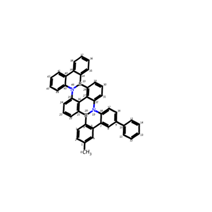 Cc1ccc2c(c1)-c1cc(-c3ccccc3)ccc1N1B2c2cccc3c2-c2c(cccc21)B1c2ccccc2-c2ccccc2N13